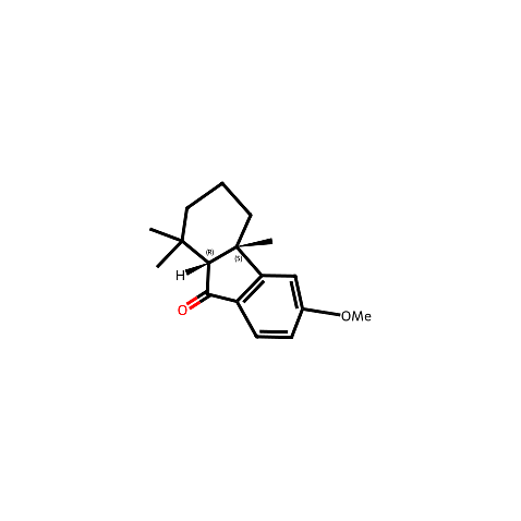 COc1ccc2c(c1)[C@@]1(C)CCCC(C)(C)[C@H]1C2=O